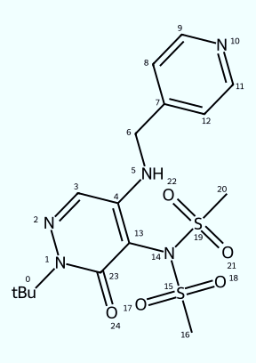 CC(C)(C)n1ncc(NCc2ccncc2)c(N(S(C)(=O)=O)S(C)(=O)=O)c1=O